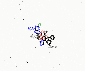 COc1ccc(C(OC2[C@H]3O[C@@H](n4cnc5c(N)nc(Cl)nc54)C(O[Si](C)(C)C(C)(C)C)[C@@]23OC(=S)n2ccnc2)(c2ccccc2)c2ccccc2)cc1